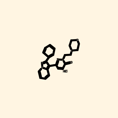 Cl.O=c1ccc(-c2c(-c3ccccc3)nn3ccccc23)nn1CCN1CCOCC1